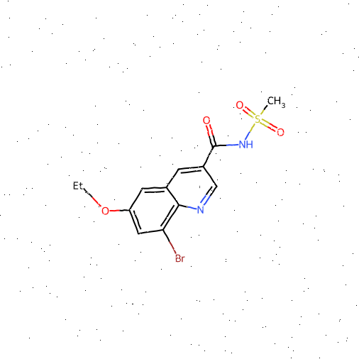 CCOc1cc(Br)c2ncc(C(=O)NS(C)(=O)=O)cc2c1